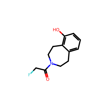 O=C(CF)N1CCc2cccc(O)c2CC1